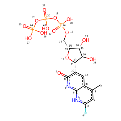 Cc1cc(F)[nH]c2nc(=O)c([C@@H]3O[C@H](COP(=O)(O)OP(=O)(O)OP(=O)(O)O)[C@H](O)C3O)cc1-2